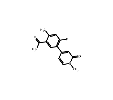 Cc1cc(F)c(-c2ccn(C)c(=O)c2)cc1C(N)=O